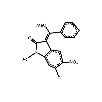 CO/C(=C1\C(=O)N(C(C)=O)c2cc(Cl)c([N+](=O)[O-])cc21)c1ccccc1